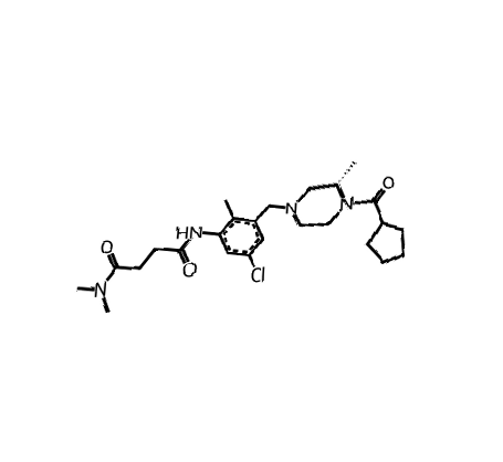 Cc1c(CN2CCN(C(=O)C3CCCC3)[C@@H](C)C2)cc(Cl)cc1NC(=O)CCC(=O)N(C)C